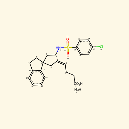 O=C(O)CC/C=C\CC1(CCNS(=O)(=O)c2ccc(Cl)cc2)CCc2ccccc21.[NaH]